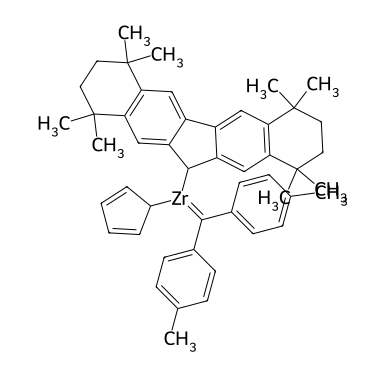 Cc1ccc([C](c2ccc(C)cc2)=[Zr]([CH]2C=CC=C2)[CH]2c3cc4c(cc3-c3cc5c(cc32)C(C)(C)CCC5(C)C)C(C)(C)CCC4(C)C)cc1